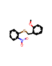 COc1ccccc1CSc1ccccc1[N+](=O)[O-]